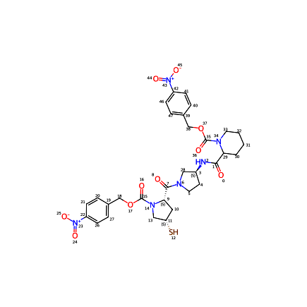 O=C(N[C@H]1CCN(C(=O)[C@@H]2C[C@H](S)CN2C(=O)OCc2ccc([N+](=O)[O-])cc2)C1)C1CCCCN1C(=O)OCc1ccc([N+](=O)[O-])cc1